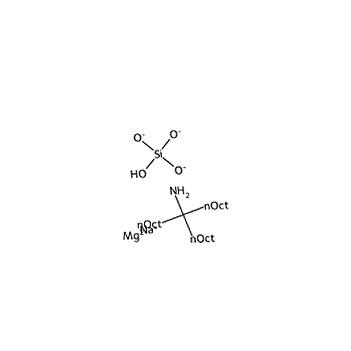 CCCCCCCCC(N)(CCCCCCCC)CCCCCCCC.[Mg+2].[Na+].[O-][Si]([O-])([O-])O